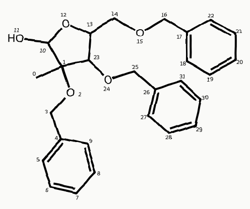 CC1(OCc2ccccc2)C(O)OC(COCc2ccccc2)C1OCc1ccccc1